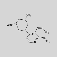 C=Nc1nccc(N2C[C@@H](C)C[C@@H](NC)C2)c1/N=C\C